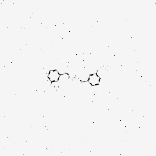 COc1cccc(C=NN=Cc2cccc(OC)c2)c1